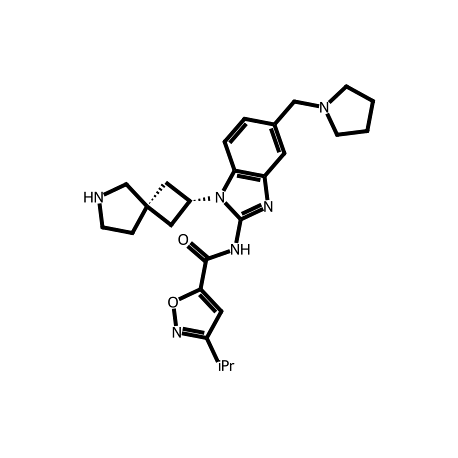 CC(C)c1cc(C(=O)Nc2nc3cc(CN4CCCC4)ccc3n2[C@H]2C[C@@]3(CCNC3)C2)on1